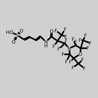 O=C(N/C=C/C=C/S(=O)(=O)O)C(F)(C(F)(F)F)C(F)(F)N1C(F)(F)C(F)(C(F)(F)F)OC(F)(C(F)(F)F)C1(F)F